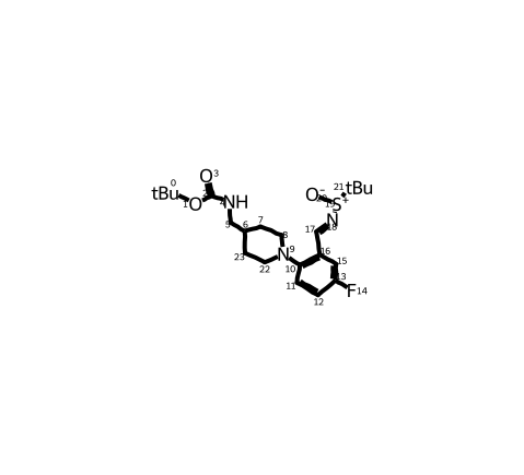 CC(C)(C)OC(=O)NCC1CCN(c2ccc(F)cc2C=N[S+]([O-])C(C)(C)C)CC1